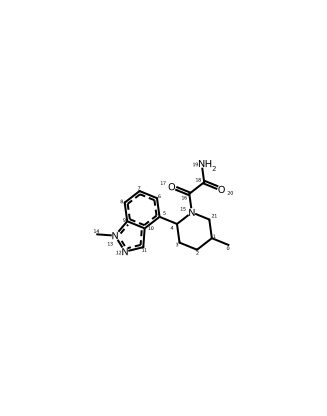 CC1CCC(c2cccc3c2cnn3C)N(C(=O)C(N)=O)C1